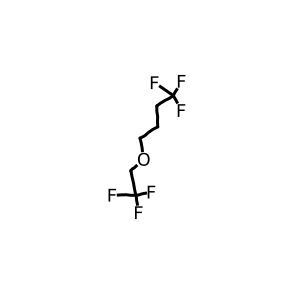 FC(F)(F)CCCOCC(F)(F)F